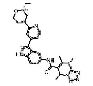 CC[C@@H]1CN(c2cc(-c3n[nH]c4ccc(NC(=O)C5=C(C)N(C)c6nnnn6C5C)cc34)ccn2)CCO1